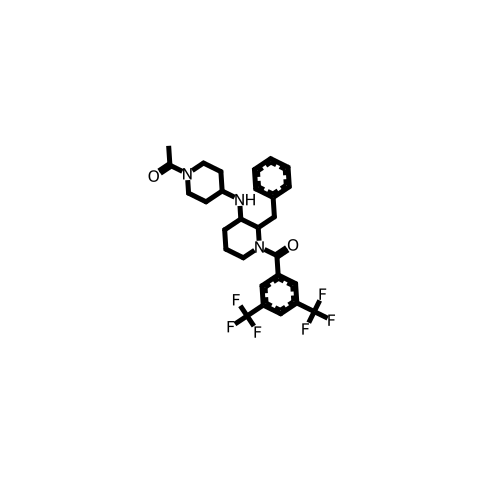 CC(=O)N1CCC(NC2CCCN(C(=O)c3cc(C(F)(F)F)cc(C(F)(F)F)c3)C2Cc2ccccc2)CC1